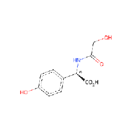 O=C(CO)N[C@@H](C(=O)O)c1ccc(O)cc1